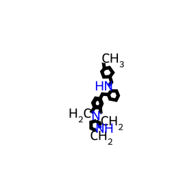 C=C1CCC(N2Cc3cc(CC4CCCCC4NCC4CCC(CC)CC4)ccc3C2=C)C(=C)N1